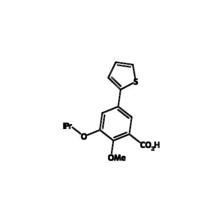 COc1c(OC(C)C)cc(-c2cccs2)cc1C(=O)O